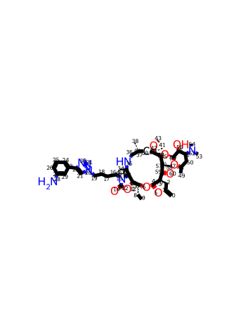 C=CC[C@H]1C(=O)O[C@H](CC)[C@@]2(C)OC(=O)N(CCCCn3cc(-c4cccc(N)c4)nn3)[C@@H]2[C@@H](C)NC[C@H](C)C[C@@](C)(OC)[C@H](O[C@@H]2OC(C)CC(N(C)C)C2O)[C@@H](C)C1=O